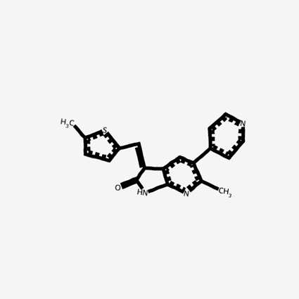 Cc1ccc(C=C2C(=O)Nc3nc(C)c(-c4ccncc4)cc32)s1